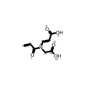 C=CC(=O)N(C=CC(=O)O)CC(=O)O